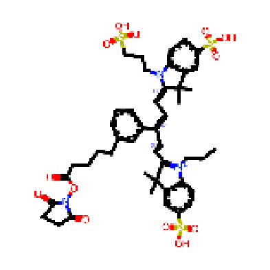 CCC[N+]1=C(/C=C/C(=C/C=C2/N(CCCS(=O)(=O)O)c3ccc(S(=O)(=O)O)cc3C2(C)C)c2cccc(CCCCC(=O)ON3C(=O)CCC3=O)c2)C(C)(C)c2cc(S(=O)(=O)O)ccc21